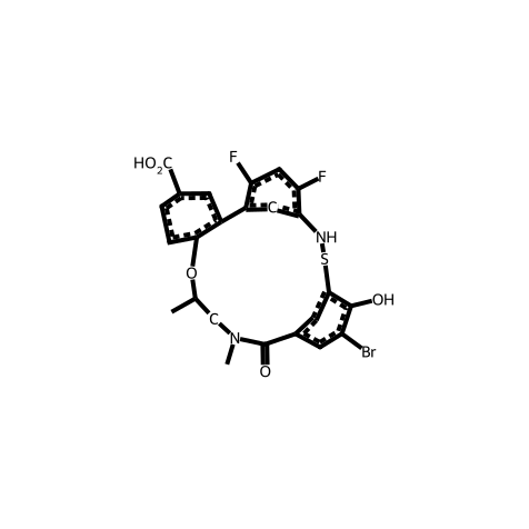 CC1CN(C)C(=O)c2cc(Br)c(O)c(c2)SNc2cc(c(F)cc2F)-c2cc(C(=O)O)ccc2O1